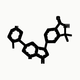 Cc1ccncc1-c1cnc2[nH]cc(-c3ccc4c(c3)C(C)(C)NC4=O)c2c1